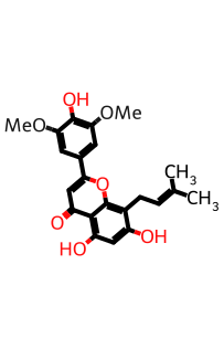 COc1cc(-c2cc(=O)c3c(O)cc(O)c(CC=C(C)C)c3o2)cc(OC)c1O